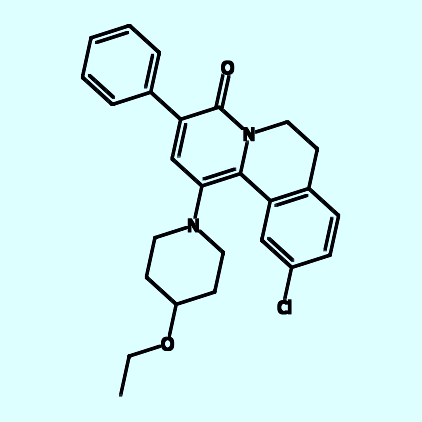 CCOC1CCN(c2cc(-c3ccccc3)c(=O)n3c2-c2cc(Cl)ccc2CC3)CC1